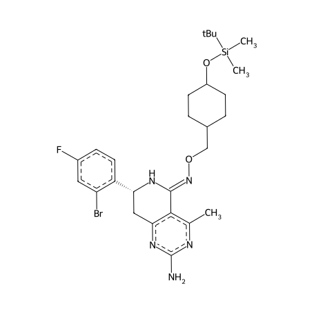 Cc1nc(N)nc2c1/C(=N/OCC1CCC(O[Si](C)(C)C(C)(C)C)CC1)N[C@@H](c1ccc(F)cc1Br)C2